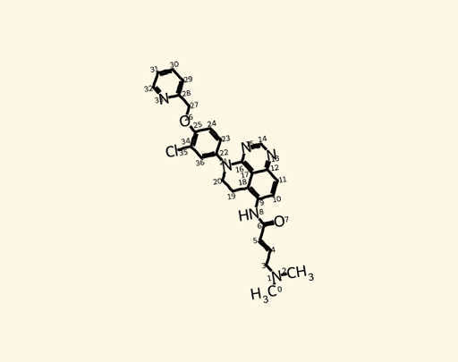 CN(C)C/C=C/C(=O)Nc1ccc2ncnc3c2c1CCN3c1ccc(OCc2ccccn2)c(Cl)c1